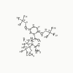 CCC(N(NC(=O)c1cc(OCC(F)(F)F)ccc1OCC(F)(F)F)C(N)=O)(C(F)(F)F)C(F)(F)F